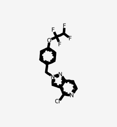 FC(F)C(F)(F)Oc1ccc(Cn2cc3c(Cl)nccc3n2)cc1